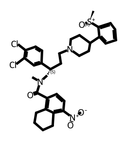 CN(C[C@@H](CCN1CCC(c2ccccc2[S@+](C)[O-])CC1)c1ccc(Cl)c(Cl)c1)C(=O)c1ccc([N+](=O)[O-])c2c1CCCC2